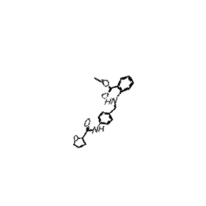 COC(=O)c1ccccc1NCc1ccc(NC(=O)C2CCCO2)cc1